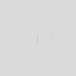 O=CNCc1ccc(C(=O)O)cc1